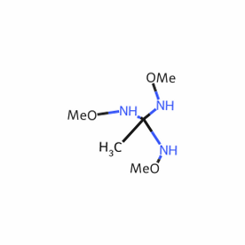 CONC(C)(NOC)NOC